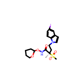 C[C@@](CCn1ccc2cc(I)ccc21)(C(=O)NOC1CCCCO1)S(C)(=O)=O